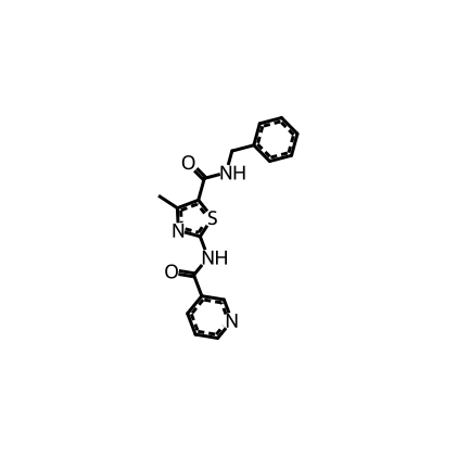 Cc1nc(NC(=O)c2cccnc2)sc1C(=O)NCc1ccccc1